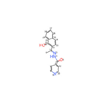 CC(=NNC(=O)c1ccncc1)c1ccc2ccccc2c1O